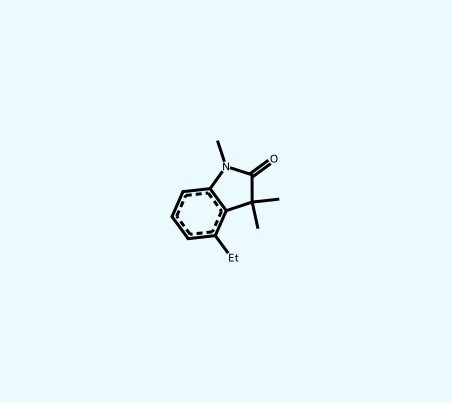 CCc1cccc2c1C(C)(C)C(=O)N2C